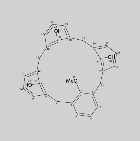 COc1c2cccc1Cc1cccc(c1O)Cc1cccc(c1O)Cc1cccc(c1O)C2